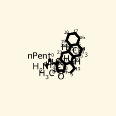 CCCCCN(N)C(=O)[C@]1(C)O[C@@]12CC[C@H]1[C@@H]3CCC4CCCC[C@]4(C)[C@H]3CC[C@@]12C